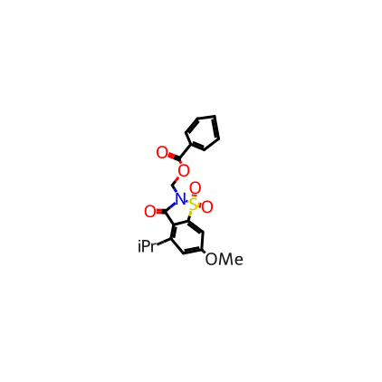 COc1cc(C(C)C)c2c(c1)S(=O)(=O)N(COC(=O)c1ccccc1)C2=O